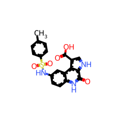 Cc1ccc(S(=O)(=O)Nc2ccc3[nH]c(=O)c4[nH]cc(C(=O)O)c4c3c2)cc1